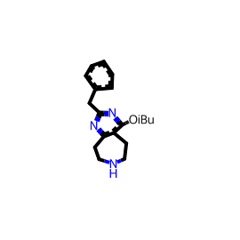 CC(C)COc1nc(Cc2ccccc2)nc2c1CCNCC2